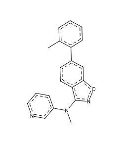 Cc1ccccc1-c1ccc2c(N(C)c3cccnc3)noc2c1